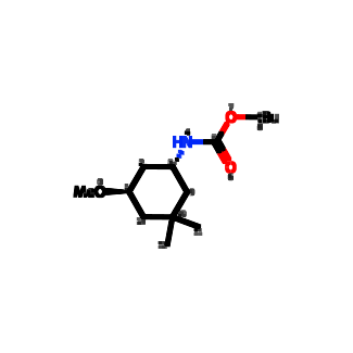 CO[C@H]1C[C@H](NC(=O)OC(C)(C)C)CC(C)(C)C1